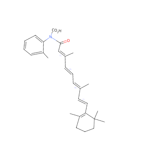 CC1=C(/C=C/C(C)=C/C=C/C(C)=C/C(=O)N(C(=O)O)c2ccccc2C)C(C)(C)CCC1